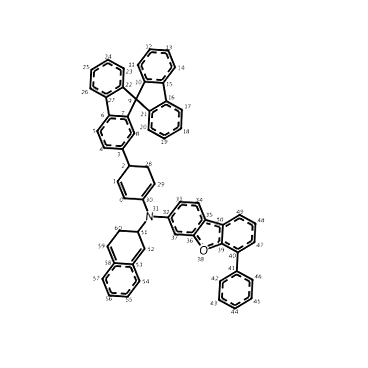 C1=CC(c2ccc3c(c2)C2(c4ccccc4-c4ccccc42)c2ccccc2-3)CC=C1N(c1ccc2c(c1)oc1c(-c3ccccc3)cccc12)C1C=c2ccccc2=CC1